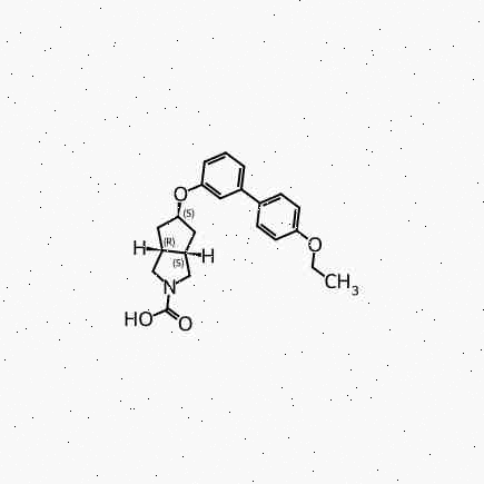 CCOc1ccc(-c2cccc(O[C@H]3C[C@@H]4CN(C(=O)O)C[C@@H]4C3)c2)cc1